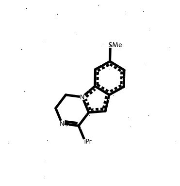 CSc1ccc2cc3n(c2c1)CCN=C3C(C)C